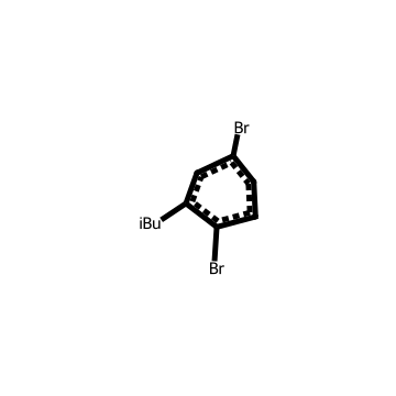 CCC(C)c1cc(Br)ccc1Br